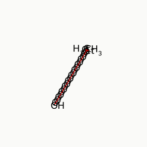 CCC(C)(C)C(=O)OCCOCCOCCOCCOCCOCCOCCOCCOCCOCCOCCOCCOCCOCCOCCOCCOCCOCCOCCOCCO